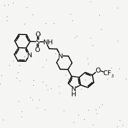 O=S(=O)(NCCN1CCC(c2c[nH]c3ccc(OC(F)(F)F)cc23)CC1)c1cccc2cccnc12